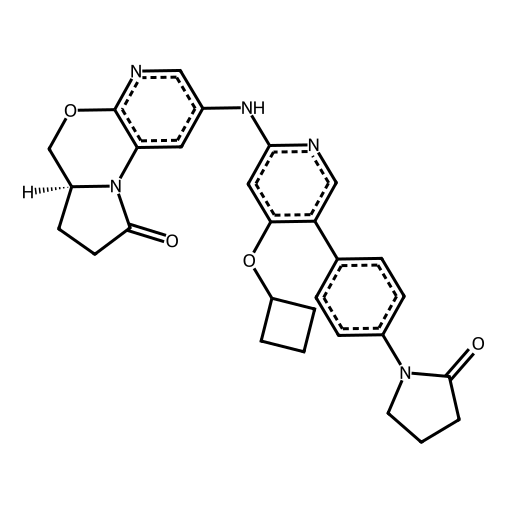 O=C1CCCN1c1ccc(-c2cnc(Nc3cnc4c(c3)N3C(=O)CC[C@H]3CO4)cc2OC2CCC2)cc1